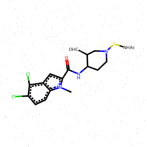 CC(=O)NSN1CCC(NC(=O)c2cc3c(Cl)c(Cl)ccc3n2C)C(C=O)C1